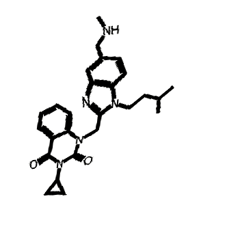 CNCc1ccc2c(c1)nc(Cn1c(=O)n(C3CC3)c(=O)c3ccccc31)n2CCC(C)C